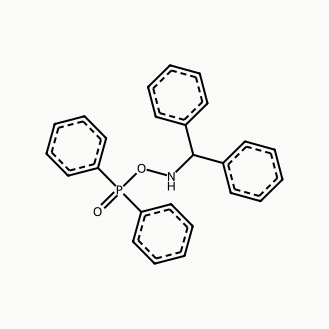 O=P(ONC(c1ccccc1)c1ccccc1)(c1ccccc1)c1ccccc1